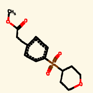 COC(=O)Cc1ccc(S(=O)(=O)C2CCOCC2)cc1